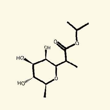 CC(C)OC(=O)C(C)C1O[C@@H](C)[C@H](O)[C@@H](O)[C@H]1O